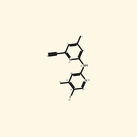 C#Cc1cc(C)cc(Nc2cc(C)c(F)cn2)n1